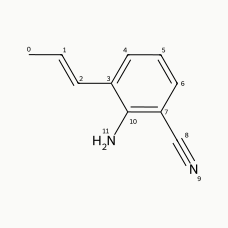 CC=Cc1cccc(C#N)c1N